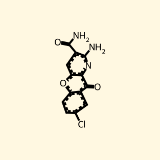 NC(=O)c1cc2oc3ccc(Cl)cc3c(=O)c2nc1N